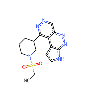 N#CCS(=O)(=O)N1CCCC(c2nncc3nnc4[nH]ccc4c23)C1